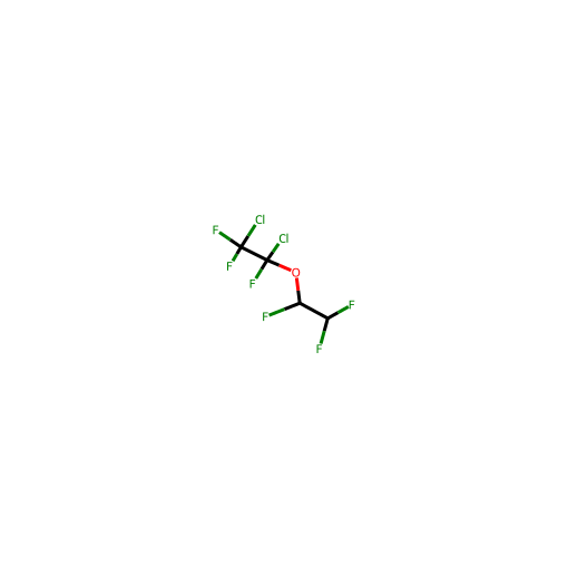 FC(F)C(F)OC(F)(Cl)C(F)(F)Cl